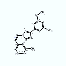 COc1cc(C)cc(-c2ncn(/C=C\C3=CNNC(C)=N3)n2)c1